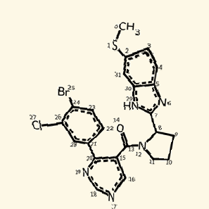 CSc1ccc2nc(C3CCCN3C(=O)c3cncnc3-c3ccc(Br)c(Cl)c3)[nH]c2c1